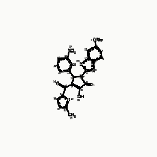 COc1ccc2nc(N3C(=O)C(O)=C(C(=O)c4ccc(C)o4)C3c3cccc([N+](=O)[O-])c3)sc2c1